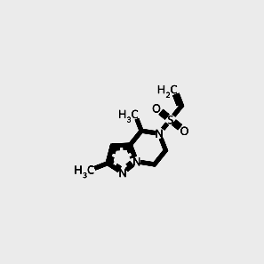 C=CS(=O)(=O)N1CCn2nc(C)cc2C1C